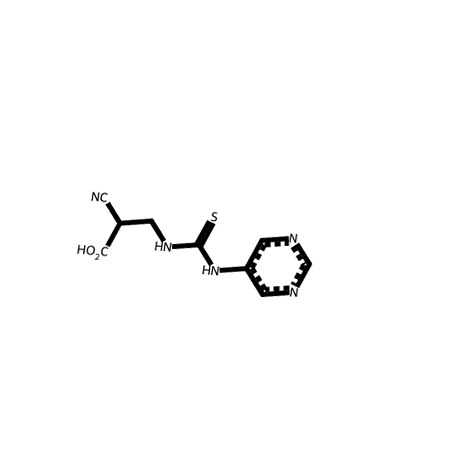 N#CC(CNC(=S)Nc1cncnc1)C(=O)O